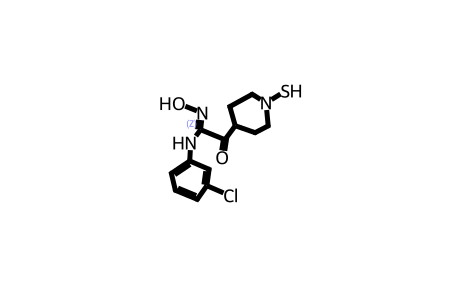 O=C(/C(=N/O)Nc1cccc(Cl)c1)C1CCN(S)CC1